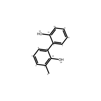 Cc1cccc(-c2ccccc2O)c1O